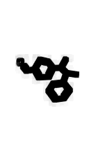 CC(c1ccccc1)C(C)c1ccc(C=O)cc1